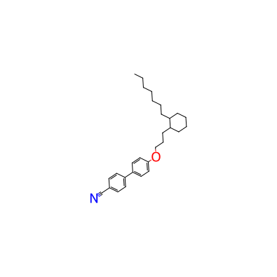 CCCCCCCC1CCCCC1CCCOc1ccc(-c2ccc(C#N)cc2)cc1